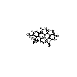 C#CN1C=CC=C(C2CNCCN2c2ccc(C=O)c(C(F)(F)F)c2)N1c1ccc(F)c(F)c1